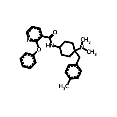 Cc1ccc(CC2(N(C)C)CCC(NC(=O)c3cccnc3Oc3ccccc3)CC2)cc1